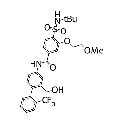 COCCOc1cc(C(=O)Nc2ccc(-c3ccccc3C(F)(F)F)c(CO)c2)ccc1S(=O)(=O)NC(C)(C)C